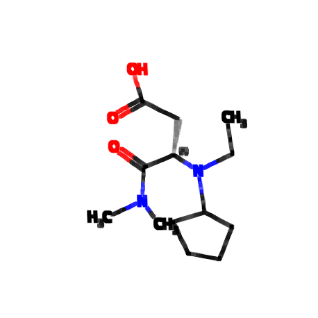 CCN(C1CCCC1)[C@@H](CC(=O)O)C(=O)N(C)C